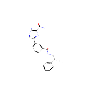 CNC(=O)c1nc(-c2cccc(C(=O)NCC(C)c3ccccc3)c2)cnc1N